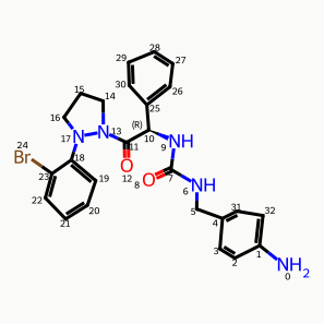 Nc1ccc(CNC(=O)N[C@@H](C(=O)N2CCCN2c2ccccc2Br)c2ccccc2)cc1